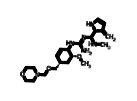 C=C1C=CNC1C(/N=C(\N)NC1C=C[C@@H](COCN2CCOCC2)C[C@H]1OC)NC